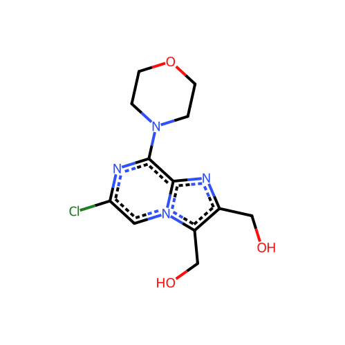 OCc1nc2c(N3CCOCC3)nc(Cl)cn2c1CO